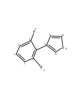 Fc1cccc(F)c1-c1c[c]sc1